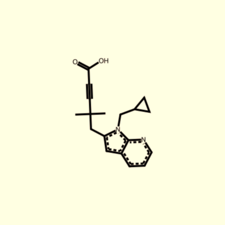 CC(C)(C#CC(=O)O)Cc1cc2cccnc2n1CC1CC1